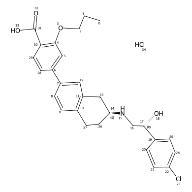 CCCOc1cc(-c2ccc3c(c2)C[C@@H](NC[C@H](O)c2ccc(Cl)cc2)CC3)ccc1C(=O)O.Cl